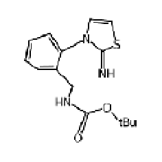 CC(C)(C)OC(=O)NCc1ccccc1-n1ccsc1=N